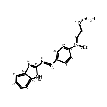 CCN(CCOS(=O)(=O)O)c1ccc(N=Nc2nc3ccccc3[nH]2)cc1